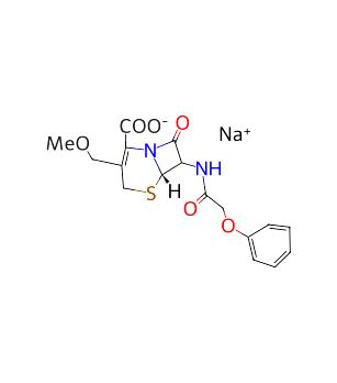 COCC1=C(C(=O)[O-])N2C(=O)C(NC(=O)COc3ccccc3)[C@@H]2SC1.[Na+]